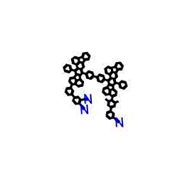 Cc1cc(-c2cccc(C#N)c2)cc(C)c1-c1ccc2c3c(-c4ccccc4)c4cc5c6ccccc6c6cccc(c4c(-c4ccc(-c7ccc(-c8c9cc%10c%11ccccc%11c%11cccc(c9c(-c9ccccc9)c9c%12ccc(-c%13cccc(-c%14ccc(C#N)c(C#N)c%14)c%13)c%13cccc(c89)c%13%12)c%11%10)cc7)cc4)c3c3cccc1c23)c65